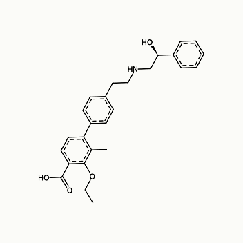 CCOc1c(C(=O)O)ccc(-c2ccc(CCNC[C@@H](O)c3ccccc3)cc2)c1C